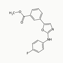 COC(=O)c1cccc(-c2cnc(Nc3ccc(F)cc3)o2)c1